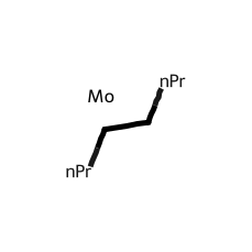 CCCCCCCC.[Mo]